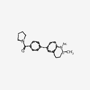 CC(=O)N1c2ccc(-c3ccc(C(=O)N4CCCC4)cc3)cc2CC[C@@H]1C